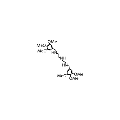 COc1cc(CNCCNCCNCc2cc(OC)c(OC)c(OC)c2)cc(OC)c1OC